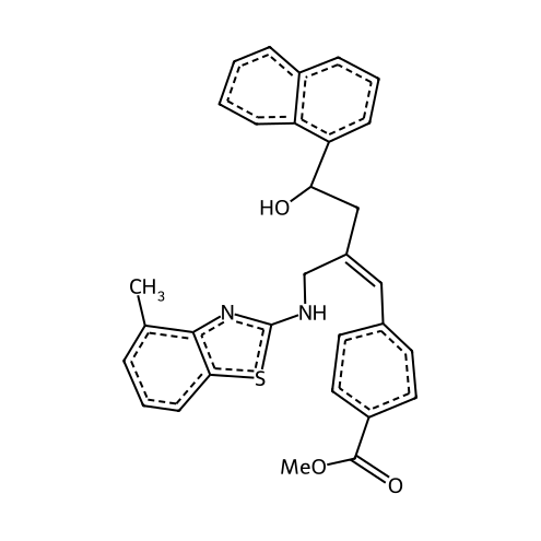 COC(=O)c1ccc(C=C(CNc2nc3c(C)cccc3s2)CC(O)c2cccc3ccccc23)cc1